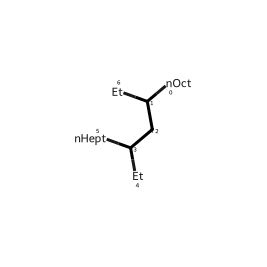 CCCCCCCCC([CH]C(CC)CCCCCCC)CC